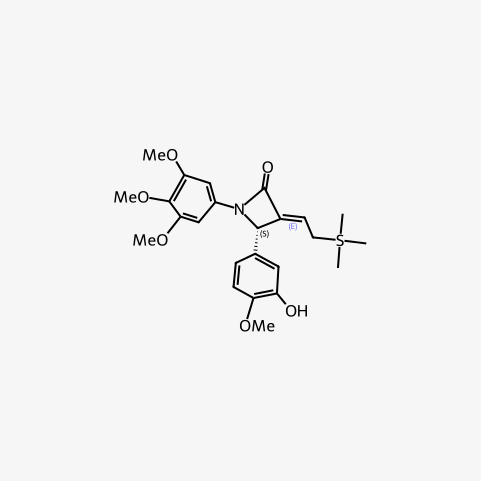 COc1ccc([C@H]2/C(=C\CS(C)(C)C)C(=O)N2c2cc(OC)c(OC)c(OC)c2)cc1O